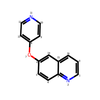 c1cnc2ccc(Oc3ccncc3)cc2c1